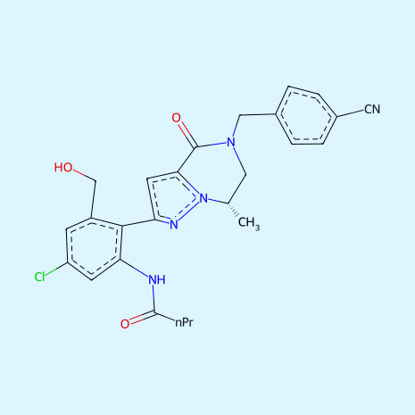 CCCC(=O)Nc1cc(Cl)cc(CO)c1-c1cc2n(n1)[C@@H](C)CN(Cc1ccc(C#N)cc1)C2=O